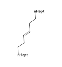 [CH2]CCCCCCCCC=CCCCCCCCC[CH2]